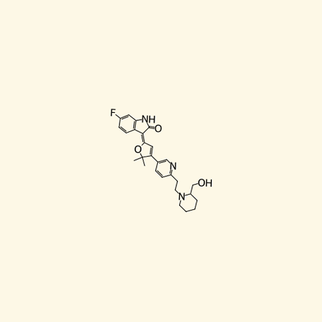 CC1(C)O/C(=C2/C(=O)Nc3cc(F)ccc32)C=C1c1ccc(CCN2CCCCC2CO)nc1